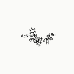 CC(=O)Nc1c(-c2ccncc2)nc(Nc2ccccc2CCCNC(=O)OC(C)(C)C)n(C)c1=O